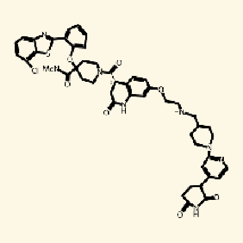 CNC(=O)C1(Oc2ccccc2-c2nc3cccc(Cl)c3s2)CCN(C(=O)[C@H]2CC(=O)Nc3cc(OCCNCC4CCN(c5cc(C6CCC(=O)NC6=O)ccn5)CC4)ccc32)CC1